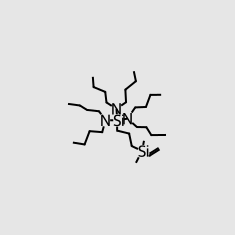 C=C[Si](C)(C)CCC[Si](N(CCCC)CCCC)(N(CCCC)CCCC)N(CCCC)CCCC